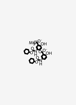 O=C(Nc1ccc(O)c(C(=O)[O-])c1)OC1CCCCC1.O=C(Nc1ccc(O)c(C(=O)[O-])c1)OC1CCCCC1.[Mg+2]